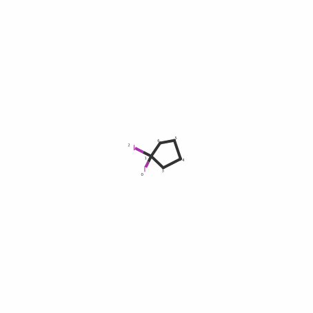 IC1(I)C[CH]CC1